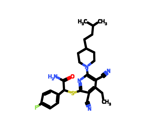 CCc1c(C#N)c(SC(C(N)=O)c2ccc(F)cc2)nc(N2CCC(CCC(C)C)CC2)c1C#N